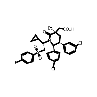 CC[C@]1(CC(=O)O)C[C@H](c2cccc(Cl)c2)[C@@H](c2ccc(Cl)cc2)N([C@H](CS(=O)(=O)c2ccc(F)cc2)C2CC2)C1=O